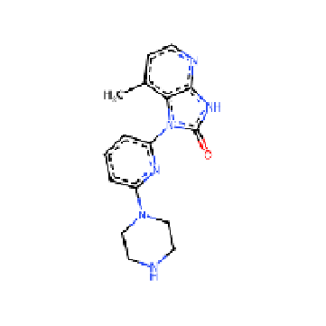 Cc1ccnc2[nH]c(=O)n(-c3cccc(N4CCNCC4)n3)c12